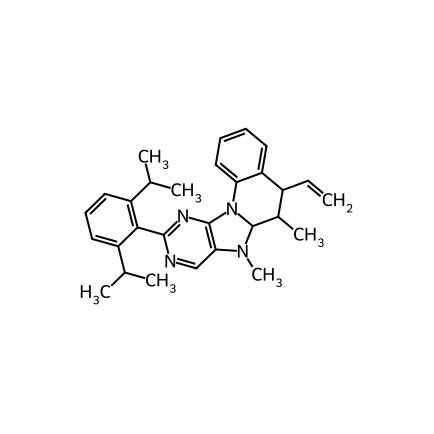 C=CC1c2ccccc2N2c3nc(-c4c(C(C)C)cccc4C(C)C)ncc3N(C)C2C1C